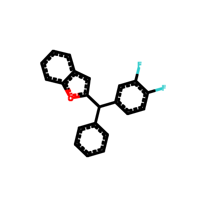 Fc1ccc(C(c2ccccc2)c2cc3ccccc3o2)cc1F